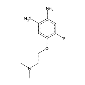 CN(C)CCOc1cc(N)c(N)cc1F